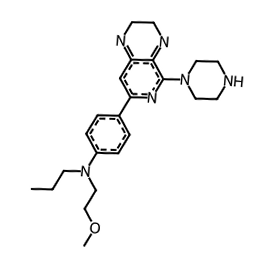 CCCN(CCOC)c1ccc(-c2cc3c(c(N4CCNCC4)n2)=NCCN=3)cc1